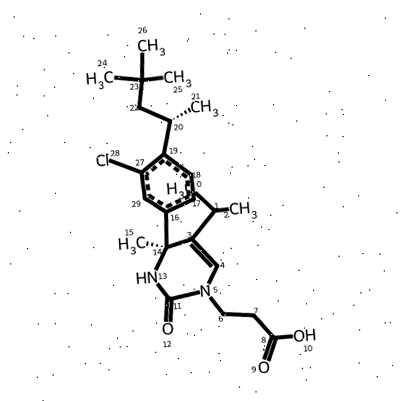 CC(C)C1=CN(CCC(=O)O)C(=O)N[C@@]1(C)c1ccc([C@@H](C)CC(C)(C)C)c(Cl)c1